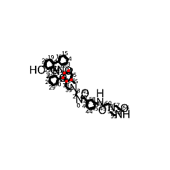 CN(CCN1CCC(OC(=O)N(c2ccccc2-c2ccccc2)N(C(=O)O)c2ccccc2-c2ccccc2)CC1)C(=O)c1cccc(NC(=O)CN2CCNC(=O)C2)c1